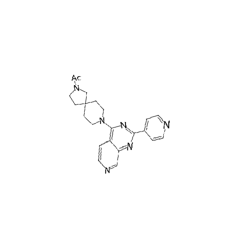 CC(=O)N1CCC2(CCN(c3nc(-c4ccncc4)nc4cnccc34)CC2)C1